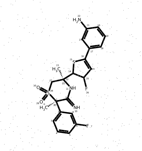 C[C@@]1(c2cccc(F)c2)C(=N)N[C@](C)(C2SC(c3cccc(N)c3)=CC2F)CS1(=O)=O